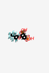 O=S(=O)(O)c1ccc2c(Oc3c(F)c(F)c(C(F)(F)C(F)=C(F)F)c(F)c3F)cc(S(=O)(=O)O)cc2c1